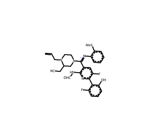 C=CCN1CCN(/C(=N/c2ccccc2SC)c2cc(F)c(-c3c(O)cccc3F)nc2NC=O)CC1CC#N